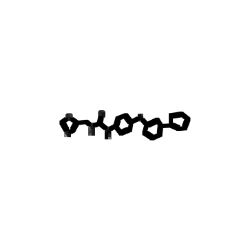 O=C(NCc1cnco1)Nc1ccc(Sc2cccc(-c3ccccc3)c2)cc1